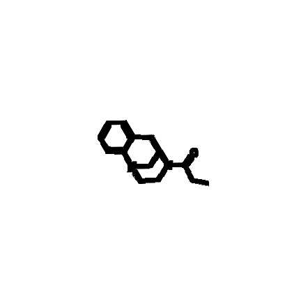 CCC(=O)N1CCN2CC1Cc1ccccc12